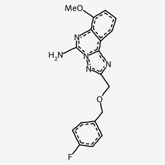 COc1cccc2c1nc(N)n1nc(COCc3ccc(F)cc3)nc21